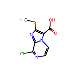 CSc1nc2c(Cl)nccn2c1C(=O)O